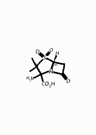 CC1(C)C(N)(C(=O)O)N2C(=O)C[C@H]2S1(=O)=O